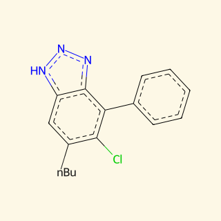 CCCCc1cc2[nH]nnc2c(-c2ccccc2)c1Cl